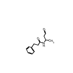 CC(CC=O)NC(=O)CCc1ccccc1